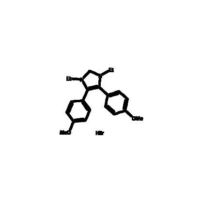 Br.CCN1CN(CC)C(c2ccc(OC)cc2)=C1c1ccc(OC)cc1